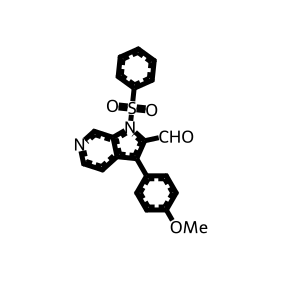 COc1ccc(-c2c(C=O)n(S(=O)(=O)c3ccccc3)c3cnccc23)cc1